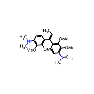 CC=C(c1ccc(N(C)C)c(OC)c1OC)c1ccc(N(C)C)c(OC)c1OC